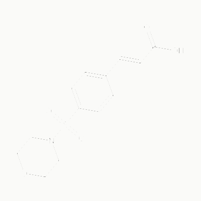 O=C(O)C=Cc1ccc(S(=O)(=O)N2CCOCC2)cc1